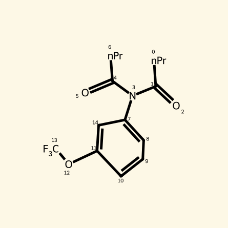 CCCC(=O)N(C(=O)CCC)c1cccc(OC(F)(F)F)c1